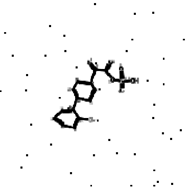 O=C(OS(=O)(=O)O)C(=S)c1ccc(-c2ccccc2Cl)cc1